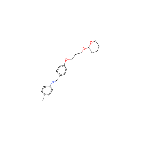 Cc1ccc(N=Cc2ccc(OCCCOC3CCCCO3)cc2)cc1